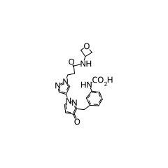 O=C(O)Nc1cccc(Cc2nn(-c3cnn(CCC(=O)NC4COC4)c3)ccc2=O)c1